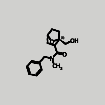 CN(Cc1ccccc1)C(=O)C1CC2CC[C@@]1(CO)O2